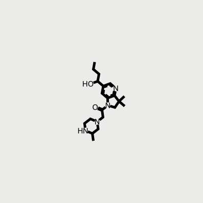 CCCC(O)c1cnc2c(c1)N(C(=O)CN1CCNC(C)C1)CC2(C)C